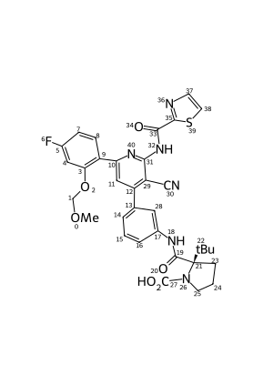 COCOc1cc(F)ccc1-c1cc(-c2cccc(NC(=O)[C@]3(C(C)(C)C)CCCN3C(=O)O)c2)c(C#N)c(NC(=O)c2nccs2)n1